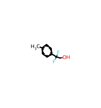 Cc1ccc(C(F)(F)CO)cc1